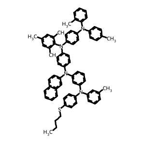 CCCCSc1ccc(N(c2cccc(C)c2)c2cccc(N(c3ccc(N(c4ccc(N(c5ccc(C)cc5)c5ccccc5C)cc4)c4c(C)cc(C)cc4C)cc3)c3ccc4ccccc4c3)c2)cc1